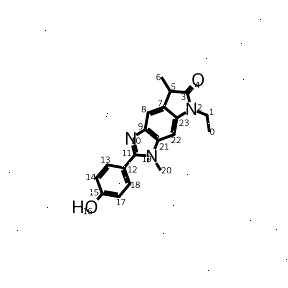 CCN1C(=O)C(C)c2cc3nc(-c4ccc(O)cc4)n(C)c3cc21